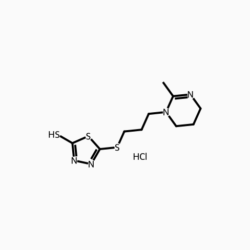 CC1=NCCCN1CCCSc1nnc(S)s1.Cl